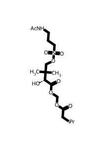 CC(=O)NCCCS(=O)(=O)OCC(C)(C)[C@@H](O)C(=O)OCOC(=O)CC(C)C